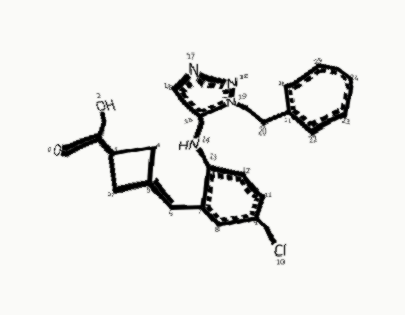 O=C(O)C1CC(=Cc2cc(Cl)ccc2Nc2cnnn2Cc2ccccc2)C1